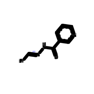 CC(C)/C=N/NC(=O)c1cccnc1